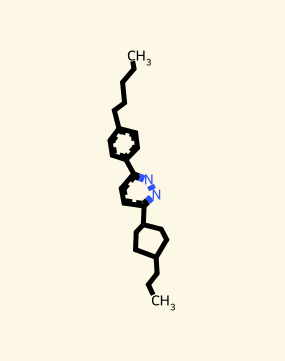 CCCCCc1ccc(-c2ccc(C3CCC(CCC)CC3)nn2)cc1